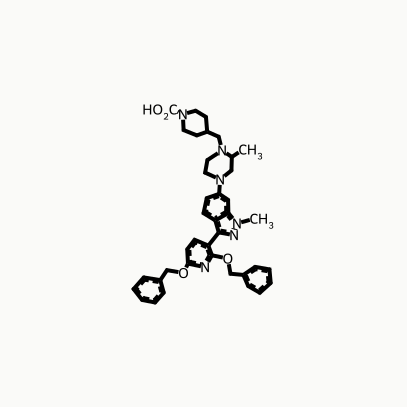 CC1CN(c2ccc3c(-c4ccc(OCc5ccccc5)nc4OCc4ccccc4)nn(C)c3c2)CCN1CC1CCN(C(=O)O)CC1